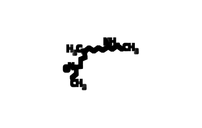 CCCC[C@H](N)CCCC[C@@H](C)CCCC(CCC)N=O